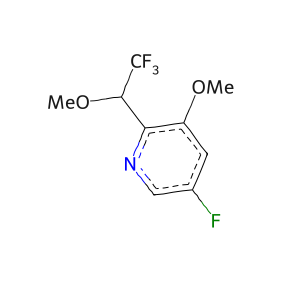 COc1cc(F)cnc1C(OC)C(F)(F)F